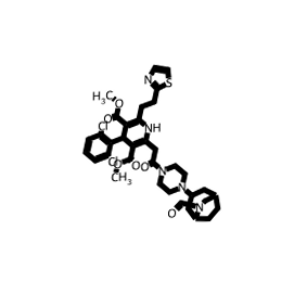 COC(=O)C1=C(CCc2nccs2)NC(CC(=O)N2CCN(C3CC4CCC(C3)N(C=O)C4)CC2)=C(C(=O)OC)C1c1c(Cl)cccc1Cl